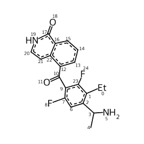 CCc1c(C(C)N)cc(F)c(C(=O)c2cccc3c(=O)[nH]ccc23)c1F